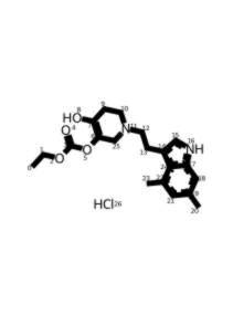 CCOC(=O)OC1=C(O)CCN(CCc2c[nH]c3cc(C)cc(C)c23)C1.Cl